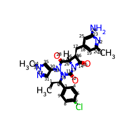 CC[C@H](c1ccc(Cl)cc1)N1C(=O)N2C(=O)[C@H](Cc3cc(C)nc(N)c3)[C@H]2C(=O)N1c1cnn(C)c1